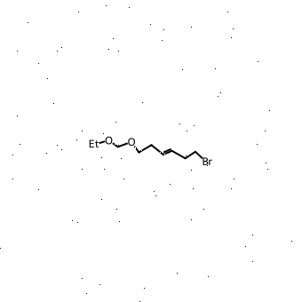 CCOCOCCC=CCCBr